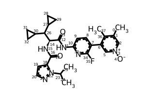 Cc1c[n+]([O-])cc(-c2ccc(NC(=O)[C@@H](NC(=O)c3ccnn3C(C)C)C(C3CC3)C3CC3)nc2F)c1C